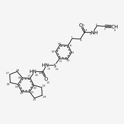 C#CCNC(=O)CCc1ccc(SNC(=O)Nc2c3c(cc4c2CCC4)CCC3)cc1